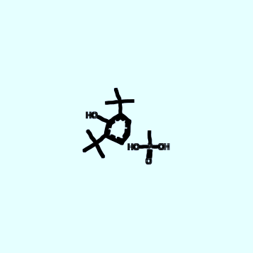 CC(C)(C)c1cccc(C(C)(C)C)c1O.CP(=O)(O)O